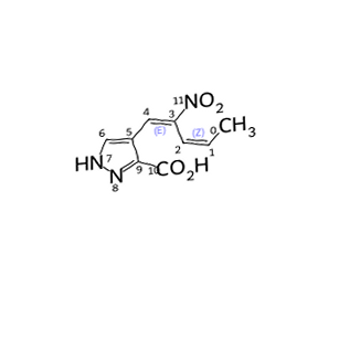 C/C=C\C(=C/c1c[nH]nc1C(=O)O)[N+](=O)[O-]